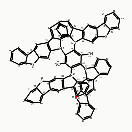 N#Cc1c(-n2c3ccccc3c3cc4c(cc32)sc2ccccc24)c(-n2c3ccccc3c3cc4c(cc32)sc2ccccc24)c(C#N)c(-n2c3ccccc3c3cc4c(cc32)sc2ccccc24)c1-n1c2ccccc2c2cc3c(cc21)sc1ccccc13